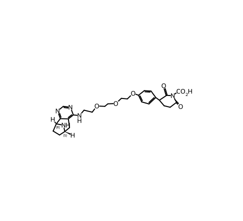 O=C(O)N1C(=O)CCC(c2ccc(OCCOCCOCCNc3ncnc4c3C[C@@H]3CC[C@H]4N3)cc2)C1=O